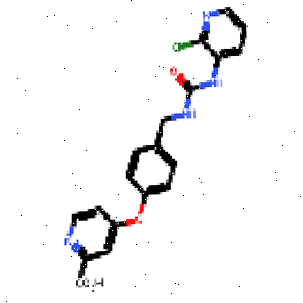 O=C(NCc1ccc(Oc2ccnc(C(=O)O)c2)cc1)Nc1cccnc1Cl